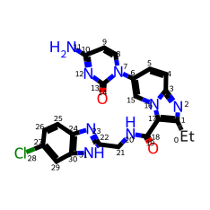 CCc1nc2ccc(-n3ccc(N)nc3=O)cn2c1C(=O)NCc1nc2ccc(Cl)cc2[nH]1